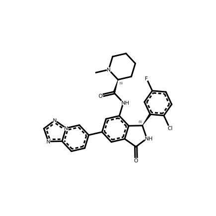 CN1CCCC[C@H]1C(=O)Nc1cc(-c2ccc3ncnn3c2)cc2c1[C@@H](c1cc(F)ccc1Cl)NC2=O